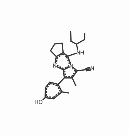 CCC(CC)Nc1c2c(nc3c(-c4ccc(O)cc4C)c(C)c(C#N)n13)CCC2